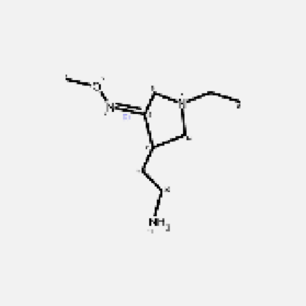 CCN1C/C(=N\OC)C(CCN)C1